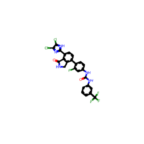 O=C(Nc1cccc(C(F)(F)F)c1)Nc1ccc(-c2ccc(-c3nc(Cl)c(Cl)[nH]3)c3c2CNC3=O)c(F)c1